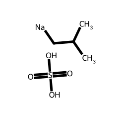 CC(C)[CH2][Na].O=S(=O)(O)O